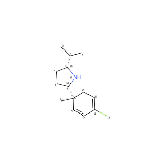 CC(C)[C@H]1CC[C@@H](C2(C)C=CC(F)=CC2)N1